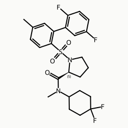 Cc1ccc(S(=O)(=O)N2CCC[C@H]2C(=O)N(C)C2CCC(F)(F)CC2)c(-c2cc(F)ccc2F)c1